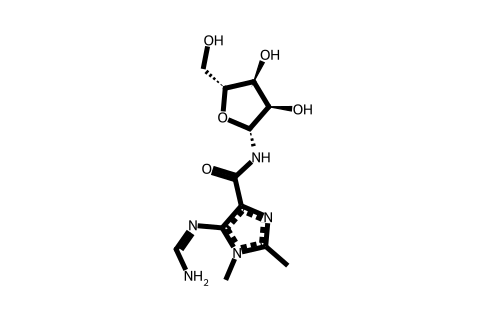 Cc1nc(C(=O)N[C@@H]2O[C@H](CO)[C@@H](O)[C@H]2O)c(/N=C\N)n1C